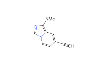 C#Cc1ccn2cnc(NC)c2c1